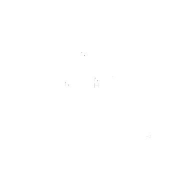 Cc1cnc(NC2(c3ccc(Br)cc3)CCC2)nc1